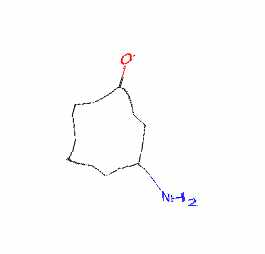 NC1CCCC([O])C1